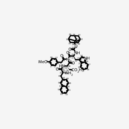 COc1ccc(CC(=O)N(C(=O)[C@H](Cc2c[nH]c3ccccc23)NC(=O)OC23CC4CC(CC(C4)C2)C3)C(=O)[C@H](CC(=O)O)NC(=O)[C@@H](N)Cc2ccc3ccccc3c2)cc1